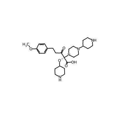 COc1ccc(CCC(=O)[C@](OC2CCNCC2)(C(=O)O)N2CCN(C3CCNCC3)CC2)cc1